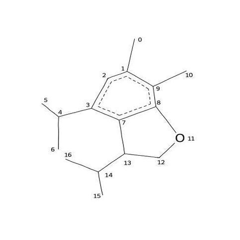 Cc1cc(C(C)C)c2c(c1C)OCC2C(C)C